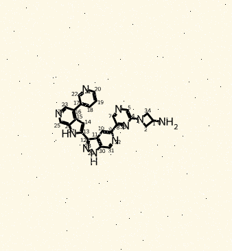 NC1CN(c2cncc(-c3cc4c(-c5cc6c(-c7cccnc7)cncc6[nH]5)n[nH]c4cn3)n2)C1